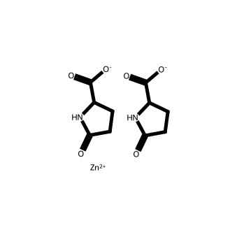 O=C1CCC(C(=O)[O-])N1.O=C1CCC(C(=O)[O-])N1.[Zn+2]